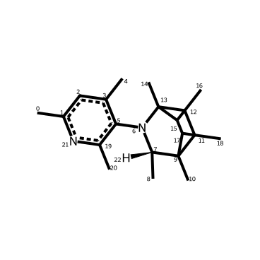 Cc1cc(C)c(N2[C@@H](C)C3(C)CCC2(C)C(C)C3C)c(C)n1